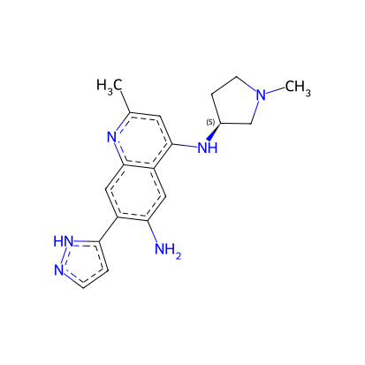 Cc1cc(N[C@H]2CCN(C)C2)c2cc(N)c(-c3ccn[nH]3)cc2n1